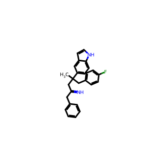 CC(CC(=N)Cc1ccccc1)(Cc1ccc(F)cc1)c1ccc2[nH]ccc2c1